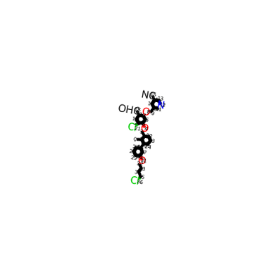 Cc1c(COc2cc(OCc3cncc(C#N)c3)c(C=O)cc2Cl)cccc1-c1cccc(OC/C=C/CCl)c1